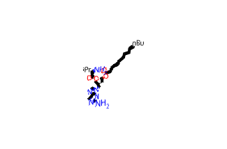 CCCC/C=C/CCCCCCCC(=O)OCC[C@@H](COC(=O)[C@@H](N)C(C)C)Cn1cnc2cnc(N)nc21